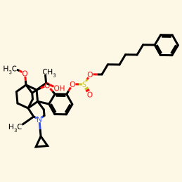 COC12CCC3(CC1C(C)O)C(C)N(C1CC1)CCC31c3cccc(OS(=O)OCCCCCCc4ccccc4)c3OC21